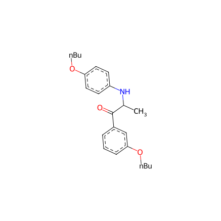 CCCCOc1ccc(NC(C)C(=O)c2cccc(OCCCC)c2)cc1